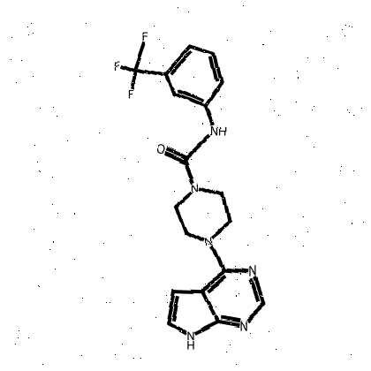 O=C(Nc1cccc(C(F)(F)F)c1)N1CCN(c2ncnc3[nH]ccc23)CC1